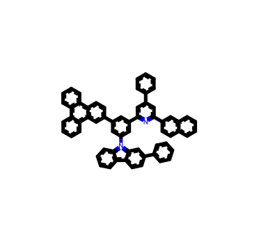 c1ccc(-c2cc(-c3cc(-c4ccc5c6ccccc6c6ccccc6c5c4)cc(-n4c5ccccc5c5ccc(-c6ccccc6)cc54)c3)nc(-c3ccc4ccccc4c3)c2)cc1